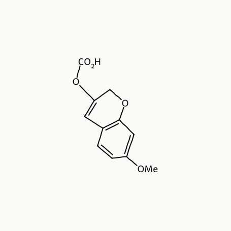 COc1ccc2c(c1)OCC(OC(=O)O)=C2